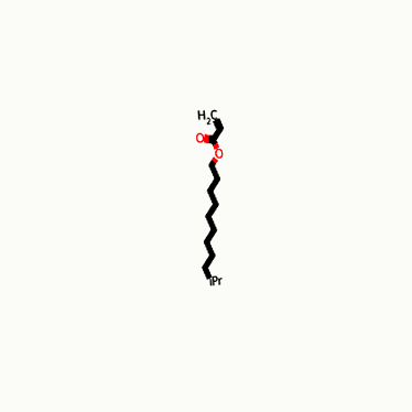 C=CC(=O)OCCCCCCCCCC(C)C